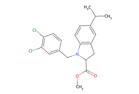 COC(=O)C1Cc2cc(C(C)C)ccc2N1Cc1ccc(Cl)c(Cl)c1